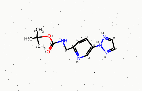 CC(C)(C)OC(=O)NCc1ccc(-n2nccn2)cn1